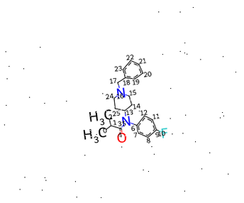 CC(C)C(=O)N(c1ccc(F)cc1)C1CCN(Cc2ccccc2)CC1